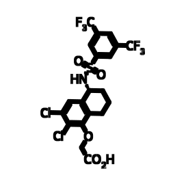 O=C(O)COc1c(Cl)c(Cl)cc2c1CCC[C@H]2NS(=O)(=O)c1cc(C(F)(F)F)cc(C(F)(F)F)c1